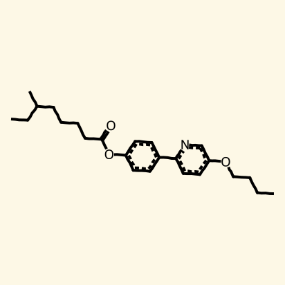 CCCCOc1ccc(-c2ccc(OC(=O)CCCCC(C)CC)cc2)nc1